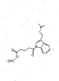 CN(C)CCc1cn(C(=O)CCCC(=O)OC=O)c2ccccc12